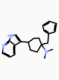 CN(C)C1(Cc2ccccc2)CCC(c2c[nH]c3ncccc23)CC1